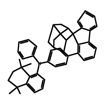 CC1(C)CCC(C)(C)c2c(N(c3ccccc3)c3ccc(-c4cccc5c4C4(c6ccccc6-5)C5CC6CC7CC4C75C6)cc3)cccc21